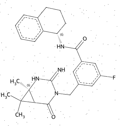 CC1(C)C2C(=O)N(Cc3cc(F)cc(C(=O)N[C@H]4CCCc5ccccc54)c3)C(=N)N[C@@]21C